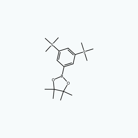 CC1(C)OB(c2cc(S(C)(C)C)cc(S(C)(C)C)c2)OC1(C)C